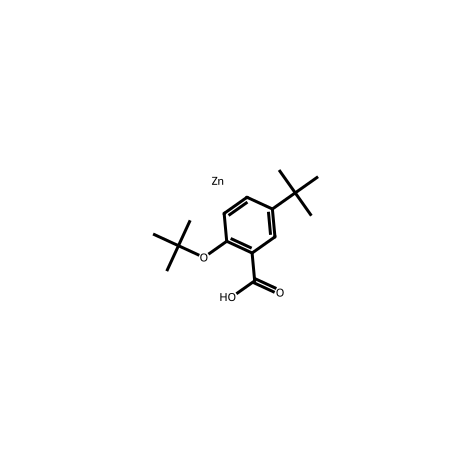 CC(C)(C)Oc1ccc(C(C)(C)C)cc1C(=O)O.[Zn]